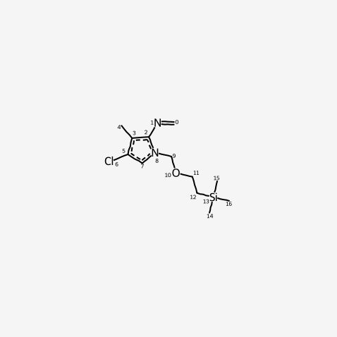 C=Nc1c(C)c(Cl)cn1COCC[Si](C)(C)C